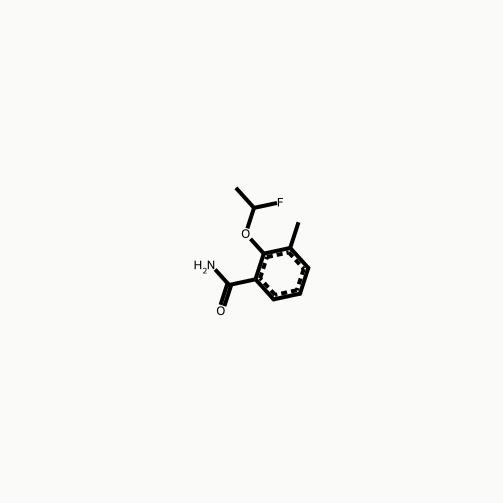 Cc1cccc(C(N)=O)c1OC(C)F